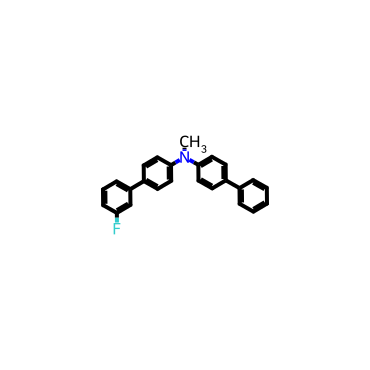 CN(c1ccc(-c2ccccc2)cc1)c1ccc(-c2cccc(F)c2)cc1